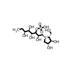 CC[C@H](O)[C@@H](O)[C@@H](O)C(OS(=O)(=O)O)[C@H](O)C[S@+]1C[C@@H](O)[C@H](O)[C@H]1CO